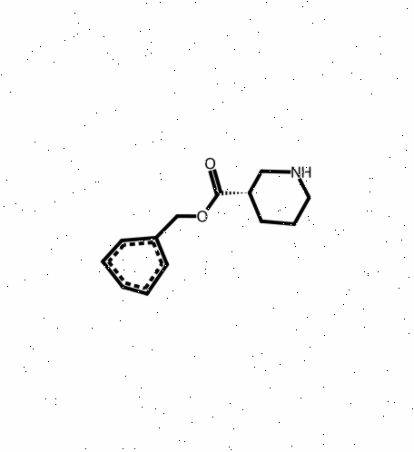 O=C(OCc1ccccc1)[C@H]1CCCNC1